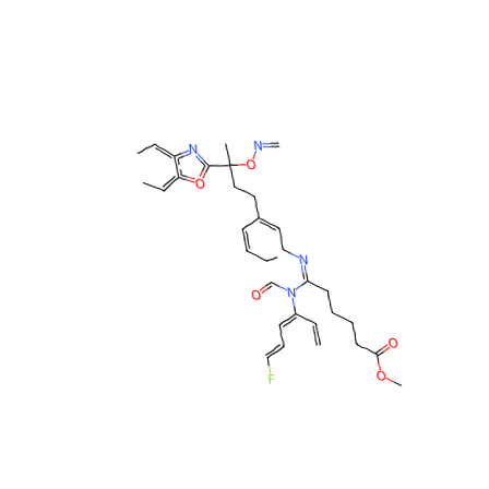 C=C/C(=C\C=C\F)N(C=O)/C(CCCCC(=O)OC)=N\C/C=C(\C=C/CC)CCC(C)(ON=C)c1nc(=C/C)/c(=C\C)o1